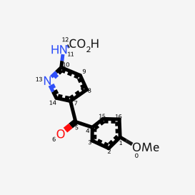 COc1ccc(C(=O)c2ccc(NC(=O)O)nc2)cc1